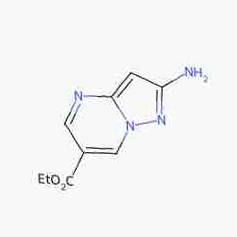 CCOC(=O)c1cnc2cc(N)nn2c1